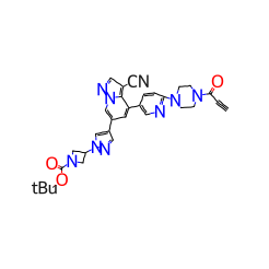 C#CC(=O)N1CCN(c2ccc(-c3cc(-c4cnn(C5CN(C(=O)OC(C)(C)C)C5)c4)cn4ncc(C#N)c34)cn2)CC1